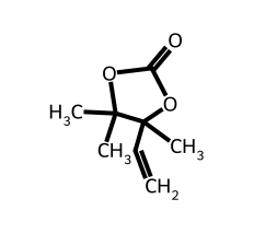 C=CC1(C)OC(=O)OC1(C)C